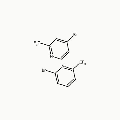 FC(F)(F)c1cc(Br)ccn1.FC(F)(F)c1cccc(Br)n1